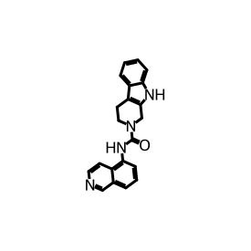 O=C(Nc1cccc2cnccc12)N1CCc2c([nH]c3ccccc23)C1